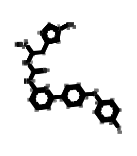 Cn1cnc(CC(NC(=O)Nc2cccc(-c3ccc(Oc4ccc(F)cc4)cc3)n2)C(=O)O)c1